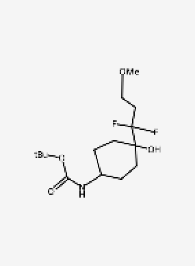 COCCC(F)(F)C1(O)CCC(NC(=O)OC(C)(C)C)CC1